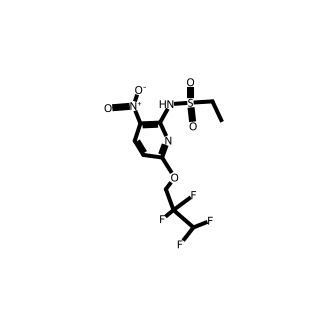 CCS(=O)(=O)Nc1nc(OCC(F)(F)C(F)F)ccc1[N+](=O)[O-]